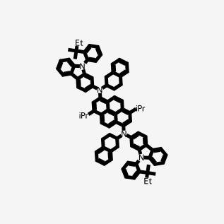 CCC(C)(C)c1ccccc1-n1c2ccccc2c2ccc(N(c3cc(C(C)C)c4ccc5c(N(c6ccc7c8ccccc8n(-c8ccccc8C(C)(C)CC)c7c6)C6CCc7ccccc7C6)cc(C(C)C)c6ccc3c4c65)C3CCc4ccccc4C3)cc21